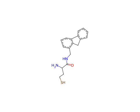 NC(CCS)C(=O)NCc1cccc2c1Cc1ccccc1-2